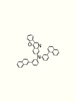 c1cc(-c2ccc3ccccc3c2)cc(N(c2cccc(-c3cccc4ccccc34)c2)c2ccc3c(c2)ncc2c4ccccc4oc32)c1